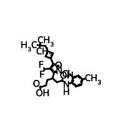 Cc1ccc(NC(O)CC(CCC(=O)O)c2noc(C3CC(CC(C)(C)C)C3)c2C(F)F)c(Cl)c1